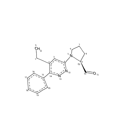 CCc1cc(N2CCC[C@H]2C=O)nnc1-c1ccccc1